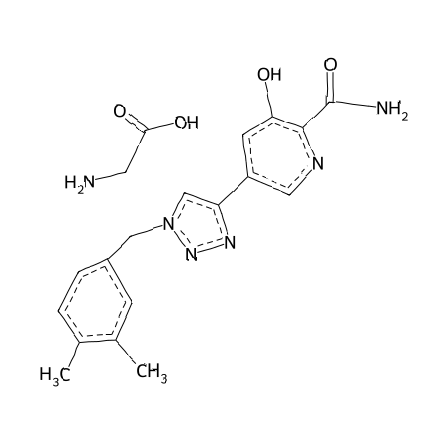 Cc1ccc(Cn2cc(-c3cnc(C(N)=O)c(O)c3)nn2)cc1C.NCC(=O)O